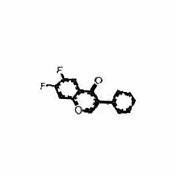 O=c1c(-c2ccccc2)coc2cc(F)c(F)cc12